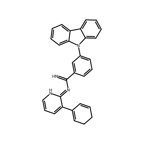 N=C(/N=c1\[nH]cccc1C1=CCCC=C1)c1cccc(-n2c3ccccc3c3ccccc32)c1